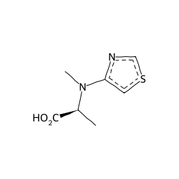 C[C@@H](C(=O)O)N(C)c1cscn1